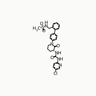 CS(=O)(=O)NCc1ccccc1-c1ccc(N2CCC[C@@H](NC(=O)Nc3ccc(Cl)cn3)C2=O)cc1